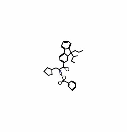 CCCC1(C(C)CC)c2ccccc2-c2ccc(C(=O)/C(CC3CCCC3)=N\OC(=O)c3ccccc3)cc21